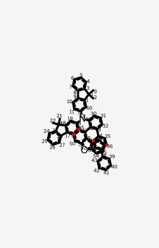 CC1(C)c2ccccc2-c2ccc(N(c3ccc4c(c3)C(C)(C)c3ccccc3-4)c3cccc(-c4ccc(-c5ccccc5)cc4)c3-c3cccc4oc5ccccc5c34)cc21